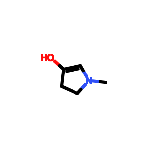 CN1C=C(O)CC1